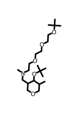 CC1COCC(CN(C)CCOCCOCCOC(C)(C)C)C1OC(C)(C)C